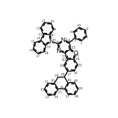 c1ccc(-c2nc(-n3c4ccccc4c4ccccc43)nc3c2oc2ccc(C4Cc5ccccc5-c5ccccc54)cc23)cc1